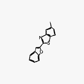 Cc1ccc2sc(-c3cc4ccccc4o3)nc2c1